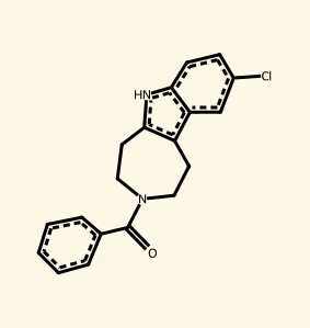 O=C(c1ccccc1)N1CCc2[nH]c3ccc(Cl)cc3c2CC1